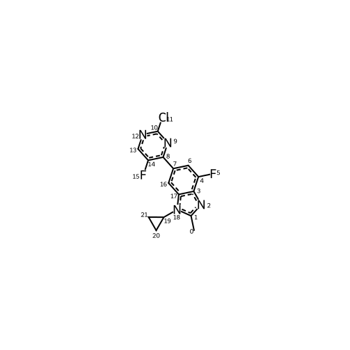 Cc1nc2c(F)cc(-c3nc(Cl)ncc3F)cc2n1C1CC1